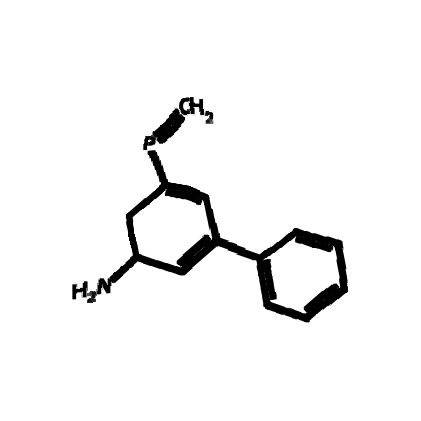 C=PC1=CC(c2ccccc2)=CC(N)C1